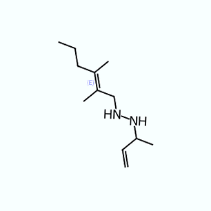 C=CC(C)NNC/C(C)=C(\C)CCC